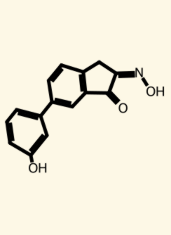 O=C1/C(=N\O)Cc2ccc(-c3cccc(O)c3)cc21